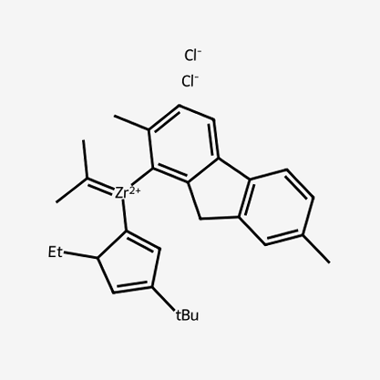 CCC1C=C(C(C)(C)C)C=[C]1[Zr+2](=[C](C)C)[c]1c(C)ccc2c1Cc1cc(C)ccc1-2.[Cl-].[Cl-]